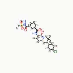 CCS(=O)(=O)NC(=O)c1cccc(C(=O)N[C@@H](C(=O)N2CC[C@H](c3ccc(Cl)cc3)C(C)(C)C2)C(C)C)c1